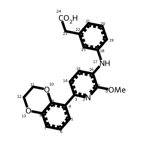 COc1nc(-c2cccc3c2OCCO3)ccc1Nc1cccc(CC(=O)O)c1